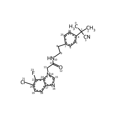 CC(C)(C#N)c1ccc(CCNC(=O)Cn2cnc3ccc(Cl)c(F)c32)cc1